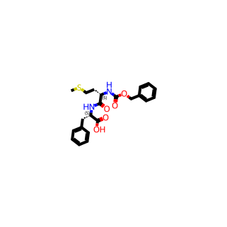 CSCC[C@H](NC(=O)OCc1ccccc1)C(=O)N[C@@H](Cc1ccccc1)C(=O)O